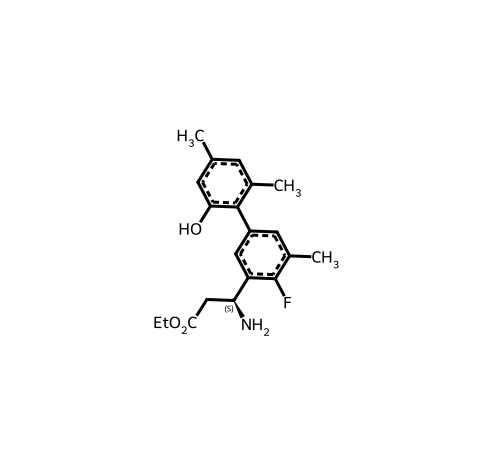 CCOC(=O)C[C@H](N)c1cc(-c2c(C)cc(C)cc2O)cc(C)c1F